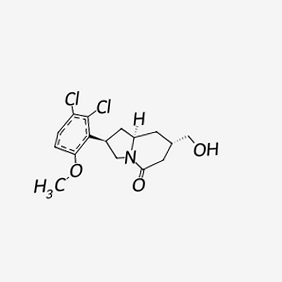 COc1ccc(Cl)c(Cl)c1[C@H]1C[C@H]2C[C@H](CO)CC(=O)N2C1